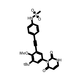 COc1c(C#Cc2ccc(NS(C)(=O)=O)cc2)cc(-n2c(=O)cc[nH]c2=O)cc1C(C)(C)C